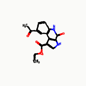 CCOC(=O)c1c[nH]c2c(=O)[nH]c3ccc(C(C)=O)cc3c12